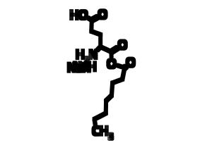 CCCCCCCC(=O)OC(=O)C(N)CCC(=O)O.[NaH].[NaH]